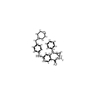 NC(=O)c1cnc(Nc2ccc(CN3CCOCC3)cc2)cc1N(c1ccccc1)C1CC1